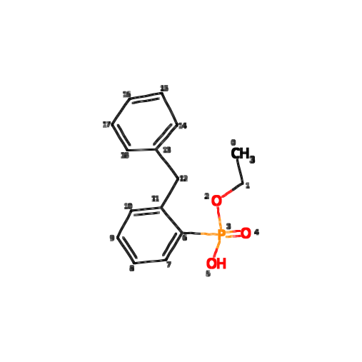 CCOP(=O)(O)c1ccccc1Cc1ccccc1